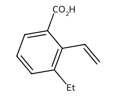 C=Cc1c(CC)cccc1C(=O)O